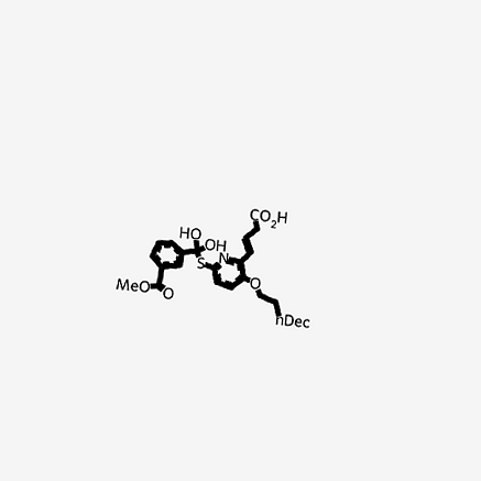 CCCCCCCCCCCCOc1ccc(SC(O)(O)c2cccc(C(=O)OC)c2)nc1C=CCC(=O)O